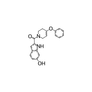 O=C(c1cc2ccc(O)cc2[nH]1)N1CC=C(Oc2ccccc2)CC1